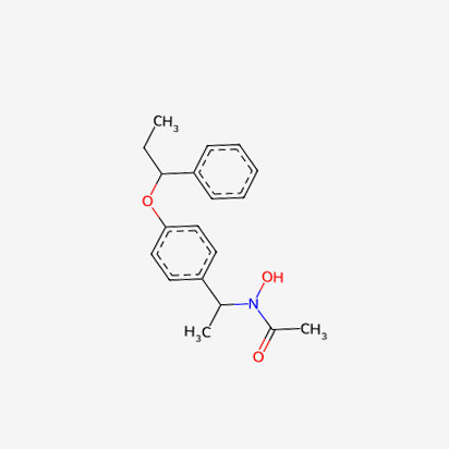 CCC(Oc1ccc(C(C)N(O)C(C)=O)cc1)c1ccccc1